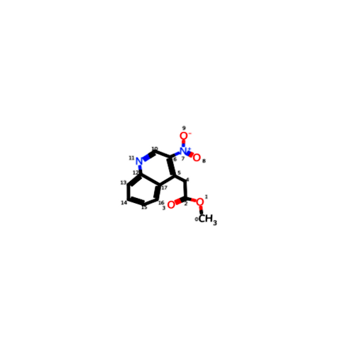 COC(=O)Cc1c([N+](=O)[O-])cnc2ccccc12